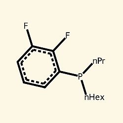 CCCCCCP(CCC)c1cccc(F)c1F